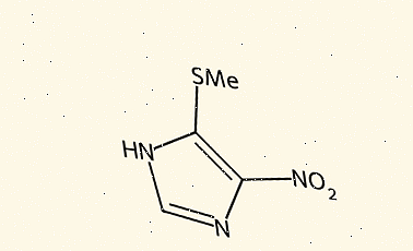 CSc1[nH]cnc1[N+](=O)[O-]